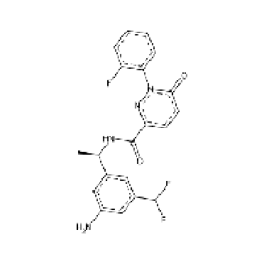 C[C@@H](NC(=O)c1ccc(=O)n(-c2ccccc2F)n1)c1cc(N)cc(C(F)F)c1